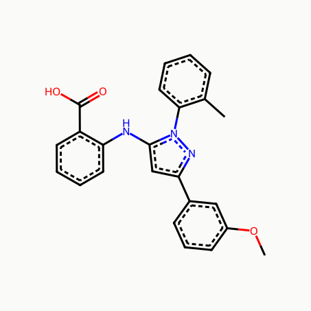 COc1cccc(-c2cc(Nc3ccccc3C(=O)O)n(-c3ccccc3C)n2)c1